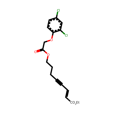 CCOC(=O)C=CC#CCCCOC(=O)COc1ccc(Cl)cc1Cl